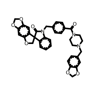 O=C(c1ccc(CN2C(=O)C3(COc4cc5c(cc43)OCO5)c3ccccc32)cc1)N1CCN(Cc2ccc3c(c2)OCO3)CC1